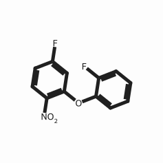 O=[N+]([O-])c1ccc(F)cc1Oc1ccccc1F